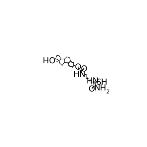 CC12CCC3c4ccc(OCC(=O)NCCCC[C@H](NS)C(N)=O)cc4CCC3C1CCC2O